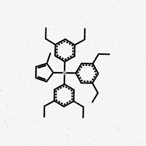 CCc1cc(CC)cc([Si]([C]2C=CC=C2C)(c2cc(CC)cc(CC)c2)c2cc(CC)cc(CC)c2)c1